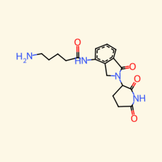 NCCCCC(=O)Nc1cccc2c1CN(C1CCC(=O)NC1=O)C2=O